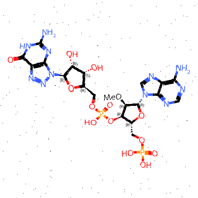 CO[C@@H]1[C@H](OP(=O)(O)OC[C@H]2O[C@@H](n3nnc4c(=O)[nH]c(N)nc43)[C@H](O)[C@@H]2O)[C@@H](COP(=O)(O)O)O[C@H]1n1cnc2c(N)ncnc21